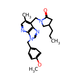 CCCC1CC(=O)N(Cc2c(C)cnc3c2ncn3Cc2ccc(OC)cc2)C1